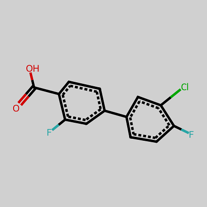 O=C(O)c1ccc(-c2ccc(F)c(Cl)c2)cc1F